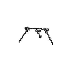 CCCCCCCCCCOC(=O)C(C)(C)CCCCCC(CCCCCC(C)(C)C(=O)OCCCCCCCCCC)OC(=O)CCCN(C)C